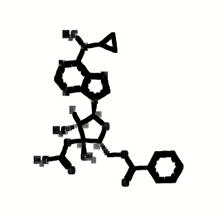 CC(=O)O[C@@]1(C)[C@@H](COC(=O)c2ccccc2)O[C@H](n2cnc3c(N(C)C4CC4)ncnc32)[C@]1(C)F